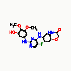 COc1cc(Nc2ncc(F)c(Nc3ccc4c(c3)NC(=O)CO4)n2)cc(O)c1OC